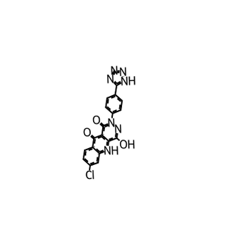 O=c1c2ccc(Cl)cc2[nH]c2c(O)nn(-c3ccc(-c4nnn[nH]4)cc3)c(=O)c12